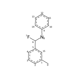 Cc1cccc(C(F)[N]c2ccccc2)c1